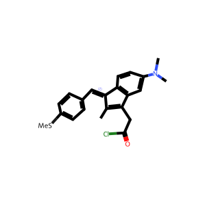 CSc1ccc(/C=C2\C(C)=C(CC(=O)Cl)c3cc(N(C)C)ccc32)cc1